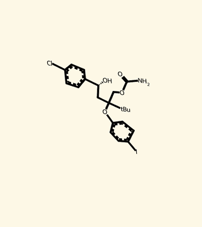 CC(C)(C)C(COC(N)=O)(C[C@@H](O)c1ccc(Cl)cc1)Oc1ccc(I)cc1